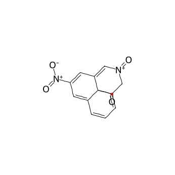 O=C1C[N+](=O)C=C2C=C([N+](=O)[O-])C=C3C=CC=CC132